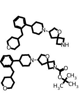 CC(C)(C)OC(=O)N1CC2(C[C@H](N3CCC(c4ccccc4CC4CCOCC4)CC3)CO2)C1.c1ccc(C2CCN([C@@H]3COC4(CNC4)C3)CC2)c(CC2CCOCC2)c1